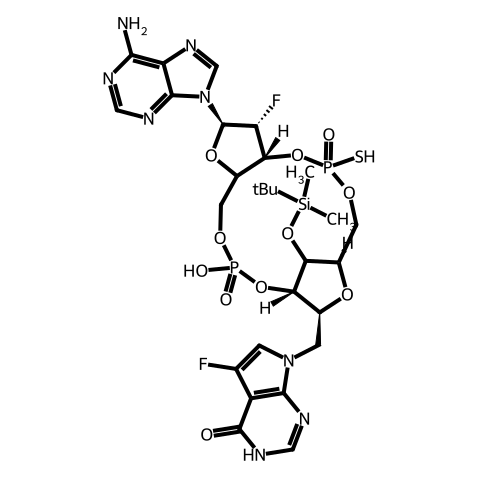 CC(C)(C)[Si](C)(C)OC1[C@H]2OP(=O)(O)OCC3O[C@@H](n4cnc5c(N)ncnc54)[C@H](F)[C@@H]3OP(=O)(S)OC[C@H]1O[C@H]2Cn1cc(F)c2c(=O)[nH]cnc21